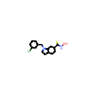 ONC(=S)c1ccc2ccn(Cc3cccc(Cl)c3)c2c1